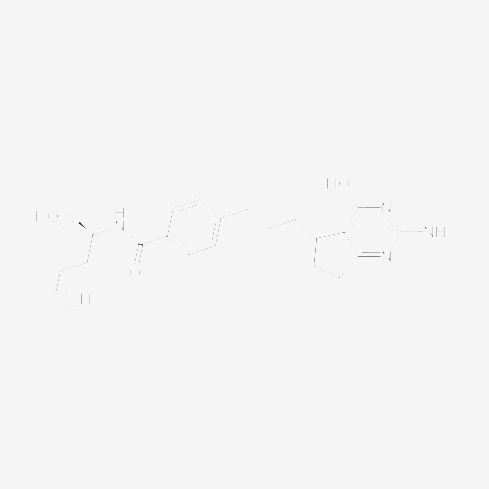 Nc1nc(O)c2c(n1)CCC2CCCc1ccc(C(=O)N[C@@H](CCC(=O)O)C(=O)O)cc1